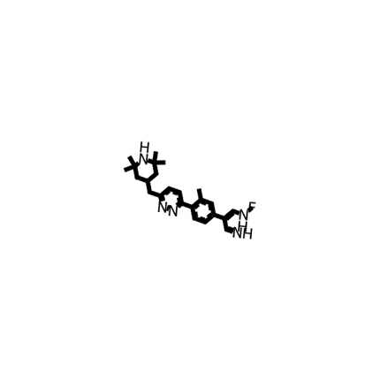 Cc1cc(/C(C=N)=C/NF)ccc1-c1ccc(CC2CC(C)(C)NC(C)(C)C2)nn1